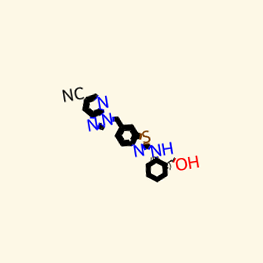 N#Cc1cnc2c(c1)ncn2Cc1ccc2nc(N[C@@H]3CCCC[C@H]3CO)sc2c1